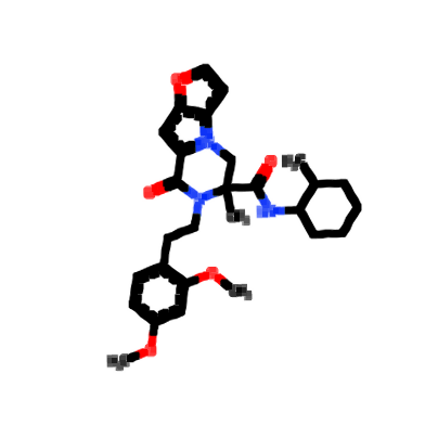 COc1ccc(CCN2C(=O)c3cc4occc4n3CC2(C)C(=O)NC2CCCCC2C)c(OC)c1